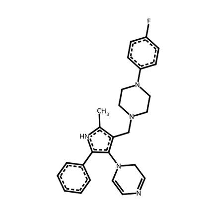 Cc1[nH]c(-c2ccccc2)c(N2C=CN=CC2)c1CN1CCN(c2ccc(F)cc2)CC1